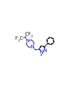 Cn1nc(-c2ccccc2)cc1CN1CCN(C(C(F)(F)F)C(F)(F)F)CC1